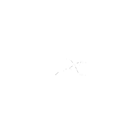 CCCCCC[N+](CCCCCC)(CCCCCC)CCCCCC.C[O-]